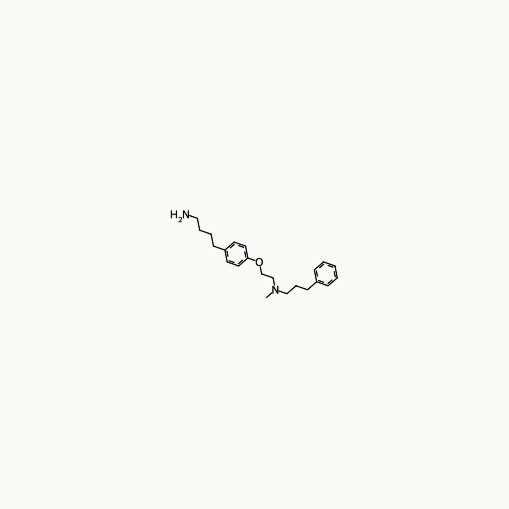 CN(CCCc1ccccc1)CCOc1ccc(CCCCN)cc1